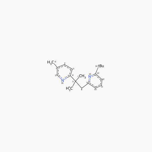 Cc1ccc(C(C)(C)Cc2cccc(C(C)(C)C)n2)nc1